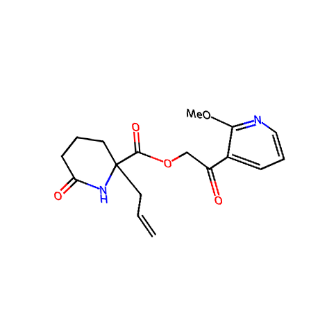 C=CCC1(C(=O)OCC(=O)c2cccnc2OC)CCCC(=O)N1